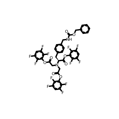 O=C(CN(CC(=O)Oc1c(F)c(F)cc(F)c1F)[C@@H](Cc1ccc(CNC(=O)OCc2ccccc2)cc1)C(=O)Oc1c(F)c(F)cc(F)c1F)Oc1c(F)c(F)cc(F)c1F